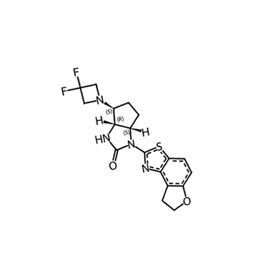 O=C1N[C@@H]2[C@@H](N3CC(F)(F)C3)CC[C@@H]2N1c1nc2c3c(ccc2s1)OCC3